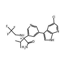 CC(C)[C@](NCC(F)(F)F)(C(N)=O)c1cncc(-c2c[nH]c3ncc(Cl)cc23)c1